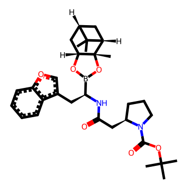 CC(C)(C)OC(=O)N1CCC[C@@H]1CC(=O)N[C@@H](Cc1coc2ccccc12)B1O[C@@H]2C[C@@H]3C[C@@H](C3(C)C)[C@]2(C)O1